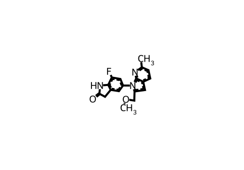 COCc1cc2ccc(C)nc2n1-c1cc(F)c2c(c1)CC(=O)N2